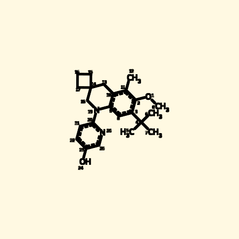 COc1c(C(C)(C)C)cc2c(c1C)CC1(CCC1)CN2c1ccc(O)cn1